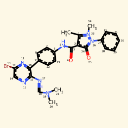 Cc1c(C(=O)Nc2ccc(-c3nc(Br)cnc3/N=C/N(C)C)cc2)c(=O)n(-c2ccccc2)n1C